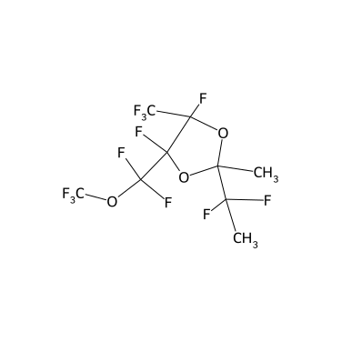 CC(F)(F)C1(C)OC(F)(C(F)(F)F)C(F)(C(F)(F)OC(F)(F)F)O1